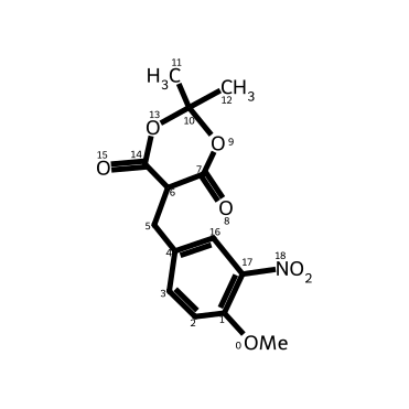 COc1ccc(CC2C(=O)OC(C)(C)OC2=O)cc1[N+](=O)[O-]